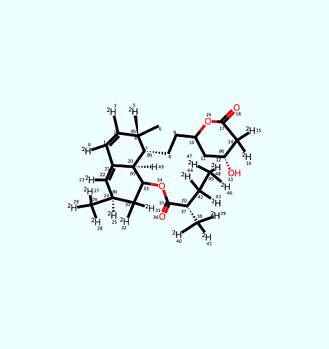 [2H]C1=C([2H])[C@]([2H])(C)[C@H](CCC2C[C@@H](O)C([2H])([2H])C(=O)O2)[C@@H]2C1=C([2H])[C@]([2H])(C([2H])([2H])[2H])C([2H])([2H])C2OC(=O)[C@@H](C([2H])([2H])[2H])C([2H])([2H])C([2H])([2H])[2H]